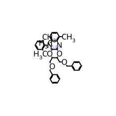 Cc1cccc(C)c1/N=C1\OC(COCc2ccccc2)C(COCc2ccccc2)O\C1=N\c1c(C)cccc1C